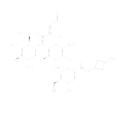 NCCN(O)C(=O)N[C@@H]1C[C@H](N)C(O[C@H]2O[C@H](CN)[C@@H](O)C[C@H]2NCC2CC(N)C2)[C@H](O)[C@H]1O[C@H]1O[C@H](CO)[C@@H](O)[C@H](N)[C@H]1O